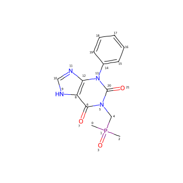 CP(C)(=O)Cn1c(=O)c2[nH]cnc2n(-c2ccccc2)c1=O